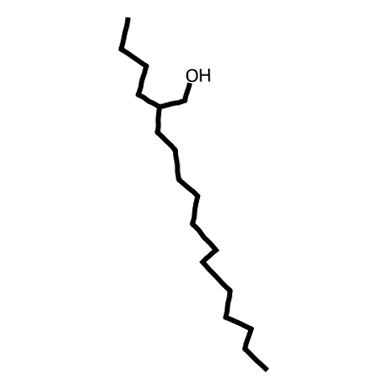 CCCCCCCCCCCCC(CO)CCCC